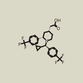 O=C(O)C[C@@H]1CCN([C@@H](c2ccc(C(F)(F)F)cc2)C2CC2)[C@H](c2ccc(C(F)(F)F)cc2)C1